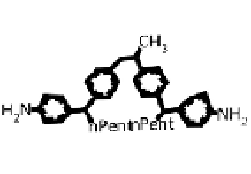 CCCCCC(c1ccc(N)cc1)c1ccc(CC(C)c2ccc(C(CCCCC)c3ccc(N)cc3)cc2)cc1